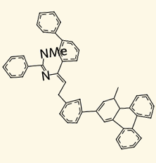 CN/C(=N\C(=C/Cc1cccc(C2=CC(C)C3C(=C2)c2ccccc2-c2ccccc23)c1)c1cccc(-c2ccccc2)c1)c1ccccc1